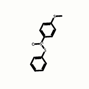 CSc1ccc([S+]([O-])Sc2ccccc2)cc1